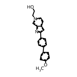 COc1ccc(-c2ccc(-c3cc4ccn(CCO)cc-4n3)cc2)cc1